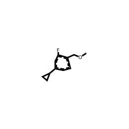 COCc1ccc(C2CC2)cc1F